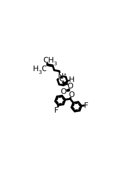 CC(C)=CCC[N+]12CCC(CC1)[C@@H](OC(=O)OC(c1cccc(F)c1)c1cccc(F)c1)C2